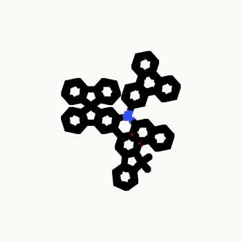 CC1(C)c2ccccc2-c2cc(-c3cc4c(cc3N(c3ccc5ccccc5c3)c3ccc5c6ccccc6c6ccccc6c5c3)C3(c5ccccc5-c5ccccc53)c3ccccc3-4)ccc21